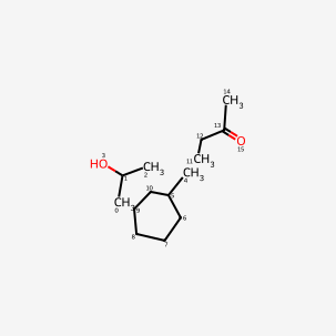 CC(C)O.CC1CCCCC1.CCC(C)=O